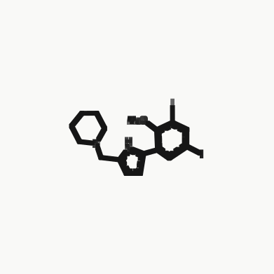 COc1c(I)cc(I)cc1-c1ccc(CN2CCCCC2)[nH]1